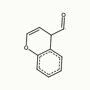 O=[C]C1C=COc2ccccc21